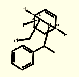 CC(c1ccccc1)N1[C@@H]2C=C[C@@H](CC2)[C@H]1CCl